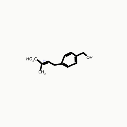 C/C(=C\Cc1ccc(CO)cc1)C(=O)O